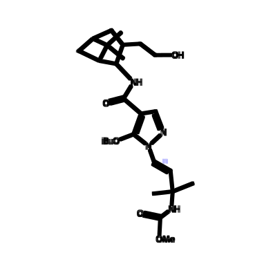 COC(=O)NC(C)(C)/C=C/n1ncc(C(=O)NC2C(CCO)CC3CC2C3(C)C)c1OCC(C)C